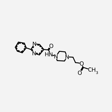 CC(=O)OCCN1CCN(NC(=O)c2cnc(-c3ccccc3)nc2)CC1